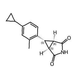 Cc1cc(C2CC2)ccc1[C@H]1[C@@H]2C(=O)NC(=O)[C@@H]21